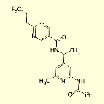 Cc1cc(C(C)NC(=O)c2ccc(CCC(F)(F)F)nc2)cc(NC(=O)C(C)C)n1